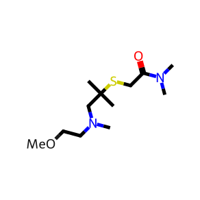 COCCN(C)CC(C)(C)SCC(=O)N(C)C